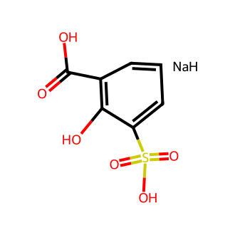 O=C(O)c1cccc(S(=O)(=O)O)c1O.[NaH]